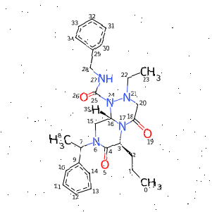 CCC[C@H]1C(=O)N(C(C)c2ccccc2)C[C@H]2N1C(=O)CN(CC)N2C(=O)NCc1ccccc1